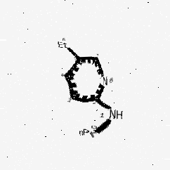 CCCNc1ccc(CC)cn1